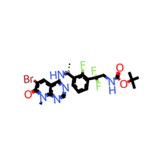 C[C@@H](Nc1ncnc2c1cc(Br)c(=O)n2C)c1cccc(C(F)(F)CNC(=O)OC(C)(C)C)c1F